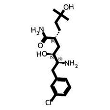 CC(C)(O)CC[C@H](C[C@H](O)[C@@H](N)Cc1cccc(Cl)c1)C(N)=O